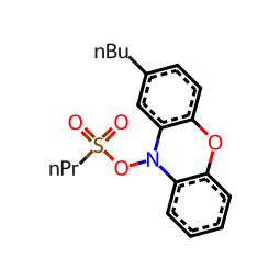 CCCCc1ccc2c(c1)N(OS(=O)(=O)CCC)c1ccccc1O2